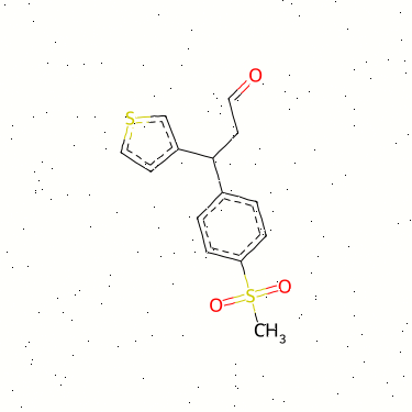 CS(=O)(=O)c1ccc(C(CC=O)c2ccsc2)cc1